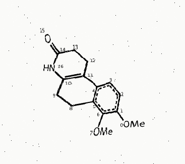 COc1ccc2c(c1OC)CCC1=C2CCC(=O)N1